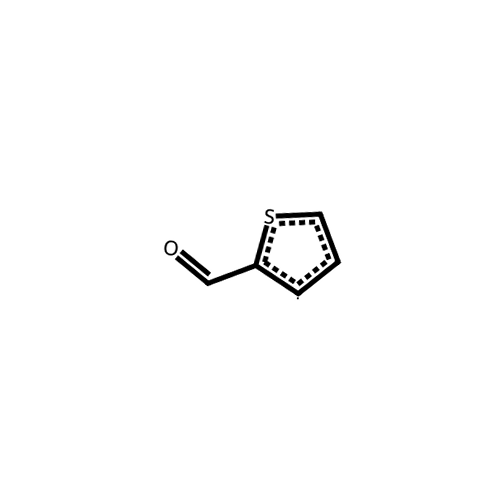 O=Cc1[c]ccs1